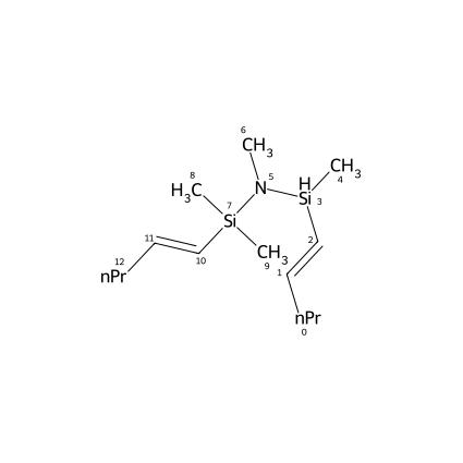 CCC/C=C/[SiH](C)N(C)[Si](C)(C)/C=C/CCC